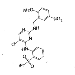 COc1ccc([N+](=O)[O-])cc1CNc1ncc(Cl)c(Nc2ccccc2S(=O)(=O)C(C)C)n1